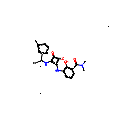 CCC(Nc1c(Nc2cccc(C(=O)N(C)C)c2O)c(=O)c1=O)c1cccc(C)c1